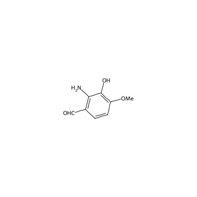 COc1ccc(C=O)c(N)c1O